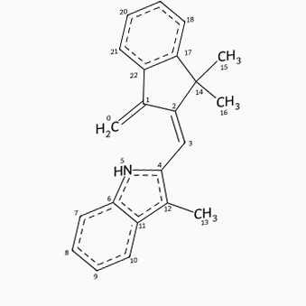 C=C1/C(=C\c2[nH]c3ccccc3c2C)C(C)(C)c2ccccc21